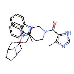 Cc1nc[nH]c1C(=O)N1CCC(CCN2C3CCC2CC(n2c(C)nc4ccccc42)C3)(c2ccccc2)CC1